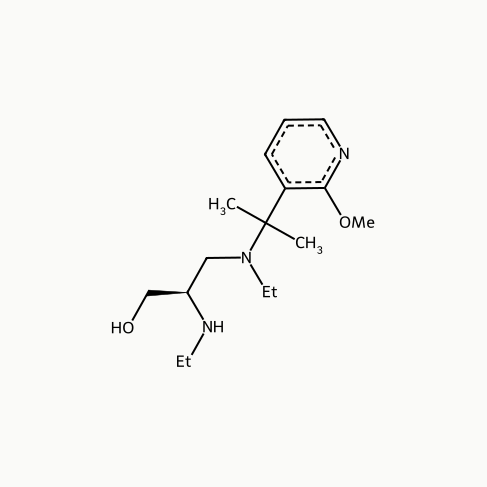 CCN[C@@H](CO)CN(CC)C(C)(C)c1cccnc1OC